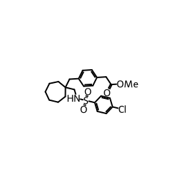 COC(=O)Cc1ccc(CC2(CNS(=O)(=O)c3ccc(Cl)cc3)CCCCCC2)cc1